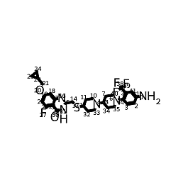 Nc1ccc(N2CCC(N3CCC(SCc4nc5cc(OCC6CC6)cc(F)c5c(=O)[nH]4)CC3)CC2)c(C(F)(F)F)c1